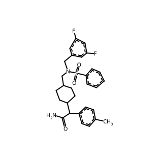 Cc1ccc(C(C(N)=O)C2CCC(CN(Cc3cc(F)cc(F)c3)S(=O)(=O)c3ccccc3)CC2)cc1